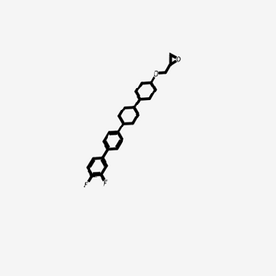 Fc1ccc(-c2ccc(C3CCC(C4CCC(OCC5CO5)CC4)CC3)cc2)cc1F